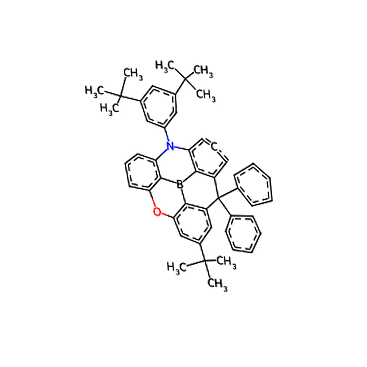 CC(C)(C)c1cc(N2c3cccc4c3B3c5c(cc(C(C)(C)C)cc5C(c5ccccc5)(c5ccccc5)c5cccc2c53)O4)cc(C(C)(C)C)c1